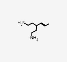 CC=CC(CCN)CCN